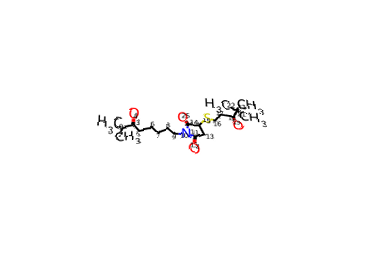 CC(C)C(=O)CCCCCN1C(=O)CC(SCCC(=O)C(C)(C)C)C1=O